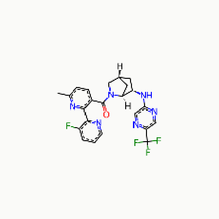 Cc1ccc(C(=O)N2C[C@@H]3C[C@@H](Nc4cnc(C(F)(F)F)cn4)[C@@H]2C3)c(-c2ncccc2F)n1